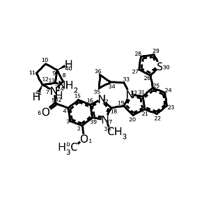 COc1cc(C(=O)N2C[C@H]3CC[C@@H]2[C@@H]3N)cc2nc(-c3cc4cccc(-c5cccs5)c4n3CC3CC3)n(C)c12